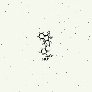 O=C1NC(=O)c2ccccc2/C1=C/Nc1cccc(C(=O)O)c1